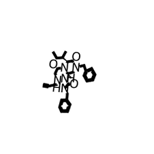 C#CCN1CC(=O)N2[C@@H](C(C)CC)C(=O)N(Cc3ccccc3)C[C@@H]2N1C(=O)NCc1ccccc1